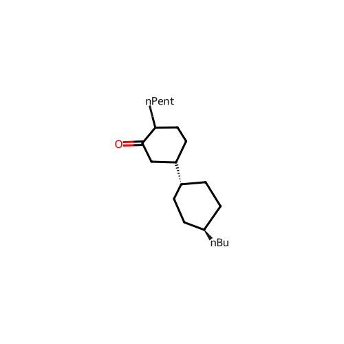 CCCCCC1CCC([C@H]2CC[C@H](CCCC)CC2)CC1=O